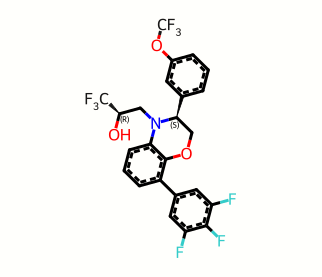 O[C@H](CN1c2cccc(-c3cc(F)c(F)c(F)c3)c2OC[C@@H]1c1cccc(OC(F)(F)F)c1)C(F)(F)F